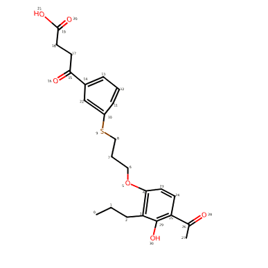 CCCc1c(OCCCSc2cccc(C(=O)CCC(=O)O)c2)ccc(C(C)=O)c1O